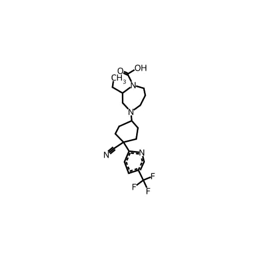 CCC1CN(C2CCC(C#N)(c3ccc(C(F)(F)F)cn3)CC2)CCCN1C(=O)O